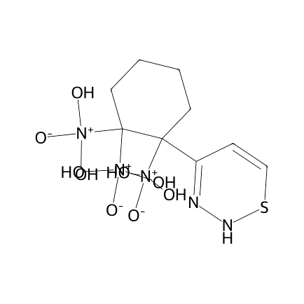 [O-][N+](O)(O)C1(C2=NNSC=C2)CCCCC1([N+]([O-])(O)O)[N+]([O-])(O)O